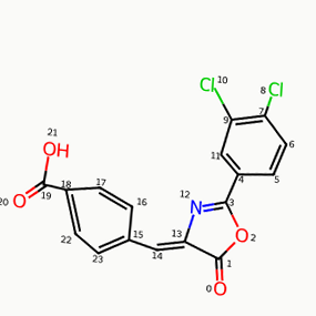 O=C1OC(c2ccc(Cl)c(Cl)c2)=NC1=Cc1ccc(C(=O)O)cc1